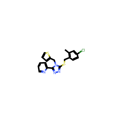 Cc1cc(Cl)ccc1CSc1nnc(-c2ccccn2)n1Cc1cccs1